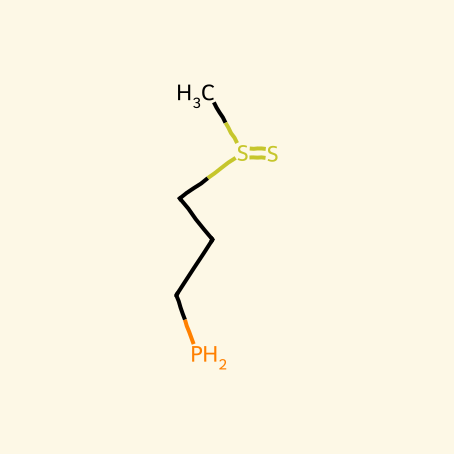 CS(=S)CCCP